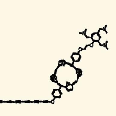 C#CC#CC#CC#CC#CC#COc1ccc(-c2c3nc(cc4ccc([nH]4)c(-c4ccc(OCCOc5c(CN(C)C)cc(CN(C)C)cc5CN(C)C)cc4)c4nc(cc5ccc2[nH]5)C=C4)C=C3)cc1